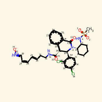 CS(=O)(=O)N[C@H]1CCCC[C@@H]1N1C(=O)c2ccccc2[C@@H](C(=O)NCC/C=C/C=C\C=[NH+]\[O-])[C@@H]1c1ccc(Cl)cc1Cl